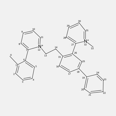 Cc1ccccc1-c1cccc[n+]1CCc1ccc(-c2ccccc2)cc1-c1cccc[n+]1C